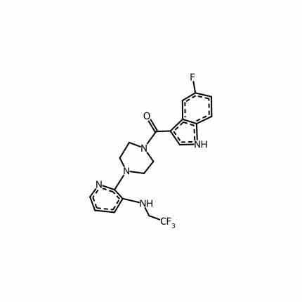 O=C(c1c[nH]c2ccc(F)cc12)N1CCN(c2ncccc2NCC(F)(F)F)CC1